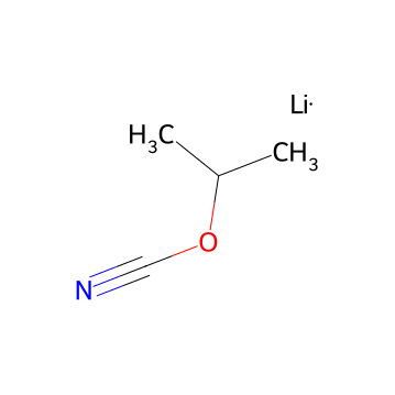 CC(C)OC#N.[Li]